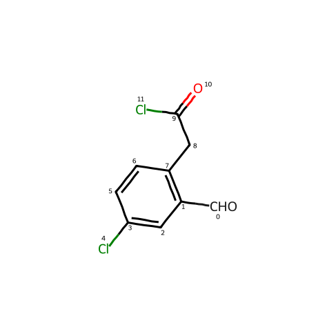 O=Cc1cc(Cl)ccc1CC(=O)Cl